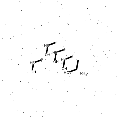 CCO.N.OBF.OBF.OBF.OBF